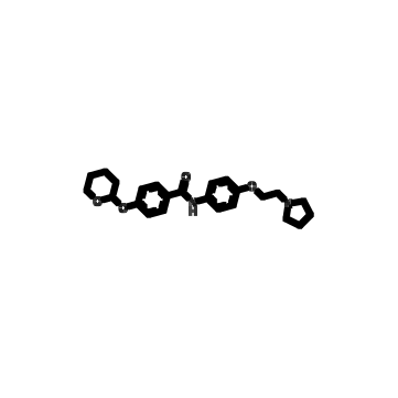 O=C(Nc1ccc(OCCN2CCCC2)cc1)c1ccc(OC2CCCCO2)cc1